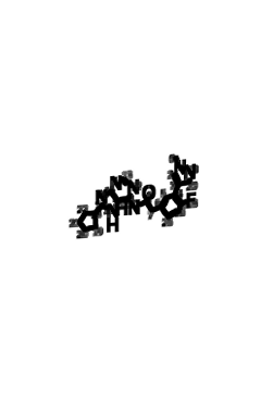 Cn1cc(-c2cc(CC(=O)Nc3ncnc4nc(C5CCCC5)[nH]c34)ccc2F)cn1